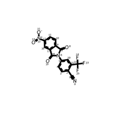 N#Cc1ccc(N2C(=O)c3ccc([N+](=O)[O-])cc3C2=O)cc1C(F)(F)F